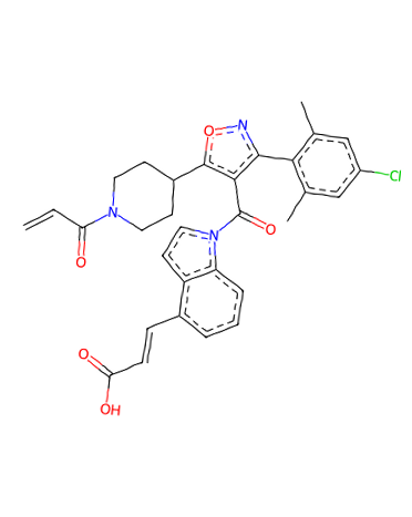 C=CC(=O)N1CCC(c2onc(-c3c(C)cc(Cl)cc3C)c2C(=O)n2ccc3c(/C=C/C(=O)O)cccc32)CC1